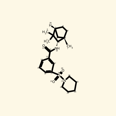 CC1(C)[C@@H]2CC[C@@](C)(C2)[C@@H]1NC(=O)c1cccc(S(=O)(=O)N2CCCCC2)c1